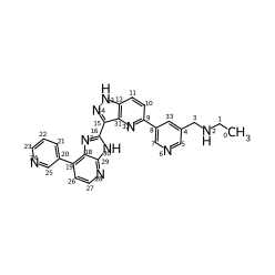 CCNCc1cncc(-c2ccc3[nH]nc(-c4nc5c(-c6cccnc6)ccnc5[nH]4)c3n2)c1